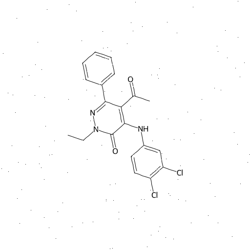 CCn1nc(-c2ccccc2)c(C(C)=O)c(Nc2ccc(Cl)c(Cl)c2)c1=O